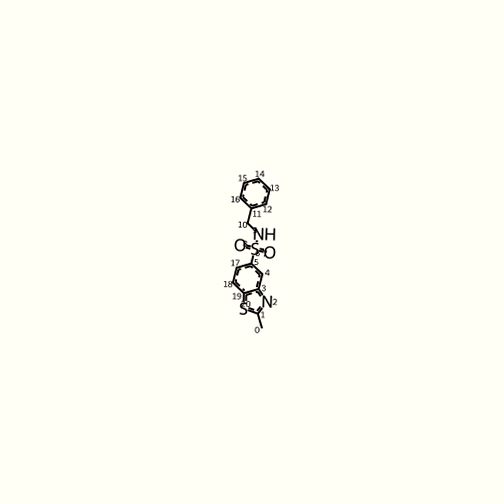 Cc1nc2cc(S(=O)(=O)NCc3ccccc3)ccc2s1